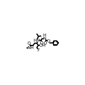 CNC(=O)CCC(NC(=O)[C@H](CC(C)C)NC(=O)OCc1ccccc1)C(O)CF